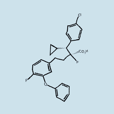 O=C(O)[C@](F)(CCc1ccc(F)c(Oc2ccccc2)c1)[C@@H](c1ccc(Cl)cc1)C1CC1